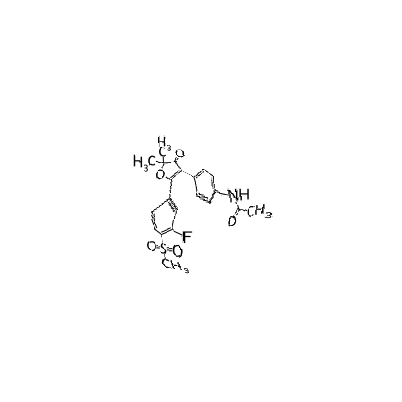 CC(=O)Nc1ccc(C2=C(c3ccc(S(C)(=O)=O)c(F)c3)OC(C)(C)C2=O)cc1